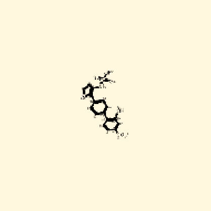 CC(C)S(=O)(=O)Nc1ccsc1-c1ccc(-c2ccc(C(=O)O)cc2O)cc1